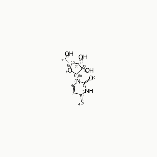 O=c1[nH]c(=S)ccn1[C@@H]1O[C@H](CO)[C@H](O)[C@@H]1O